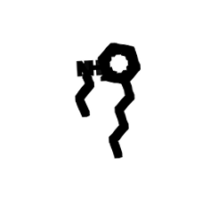 CCCCCc1ccccc1.CCCN